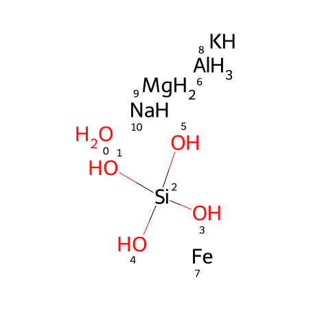 O.O[Si](O)(O)O.[AlH3].[Fe].[KH].[MgH2].[NaH]